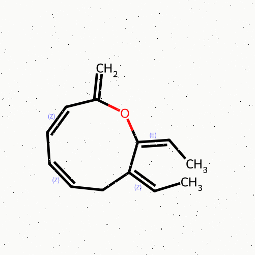 C=C1/C=C\C=C/CC(=C/C)/C(=C\C)O1